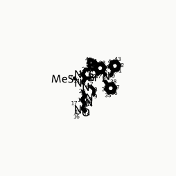 CSc1nc2c(c(N3CCCn4nc(C(=O)N(C)C)cc4C3)n1)COC1(C2)c2c(ccc(N(Cc3ccccc3)Cc3ccccc3)c2Br)C2CC1C2